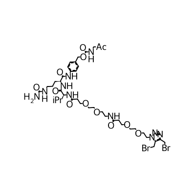 CC(=O)CNC(=O)OCc1ccc(NC(=O)[C@H](CCCNC(N)=O)NC(=O)[C@@H](NC(=O)CCOCCOCCNC(=O)CCOCCOCCn2nnc(CBr)c2CBr)C(C)C)cc1